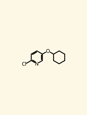 Clc1ccc(OC2CCCCC2)cn1